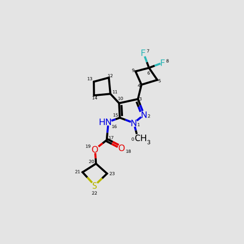 Cn1nc(C2CC(F)(F)C2)c(C2CCC2)c1NC(=O)OC1CSC1